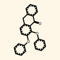 O=C1c2ccccc2Cc2ccc(Oc3ccccc3)c(Oc3ccccc3)c21